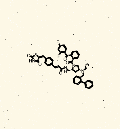 CC(C)CN(Cc1ccccc1-c1ccccc1)[C@@H]1C[C@@H](CNC(=O)/C=C/c2ccc(/C=C3/SC(=O)NC3=O)cc2)N(C(=O)c2ccccc2C(=O)c2ccc(F)cc2F)C1